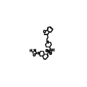 NC(=O)N1CCc2c(cccc2S(=O)(=O)NC2CCN(CCc3coc4ccccc34)CC2)C1